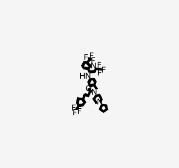 O=C(C=Cc1ccc(C(F)(F)F)cc1)N(Cc1ccc(Nc2cc(C(F)(F)F)nc3c(C(F)(F)F)cccc23)cc1)C1CCN(C2CCCC2)CC1